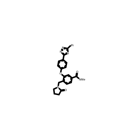 CNC(=O)c1ccc(CN2CCCC2=O)c(Oc2ccc(-c3nnc(C(C)C)s3)cc2)c1